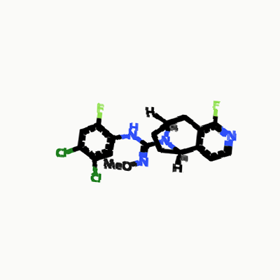 CON=C(Nc1cc(Cl)c(Cl)cc1F)N1[C@@H]2CC[C@H]1c1ccnc(F)c1C2